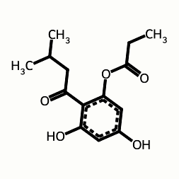 CCC(=O)Oc1cc(O)cc(O)c1C(=O)CC(C)C